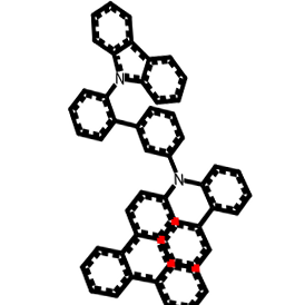 c1ccc(-c2ccccc2N(c2cccc(-c3ccccc3-n3c4ccccc4c4ccccc43)c2)c2ccc3c4ccccc4c4ccccc4c3c2)cc1